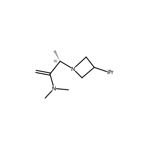 C=C([C@H](C)N1CC(C(C)C)C1)N(C)C